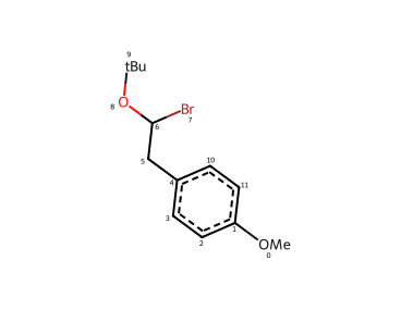 COc1ccc(CC(Br)OC(C)(C)C)cc1